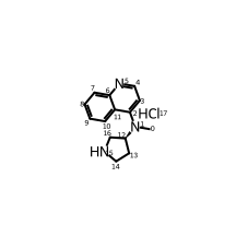 CN(c1ccnc2ccccc12)[C@H]1CCNC1.Cl